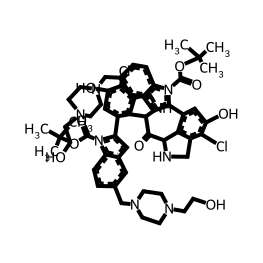 CC(C)(C)OC(=O)n1c(-c2cc(O)c(Cl)c3c2C(C(=O)C2NCc4c(Cl)c(O)cc(-c5cc6cc(CN7CCN(CCO)CC7)ccc6n5C(=O)OC(C)(C)C)c42)NC3)cc2cc(CN3CCN(CCO)CC3)ccc21